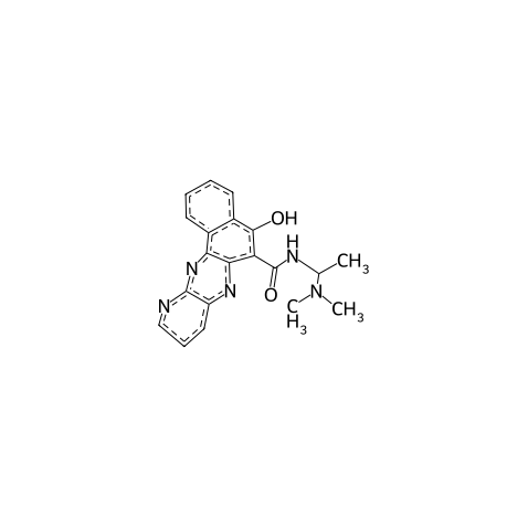 CC(NC(=O)c1c(O)c2ccccc2c2nc3ncccc3nc12)N(C)C